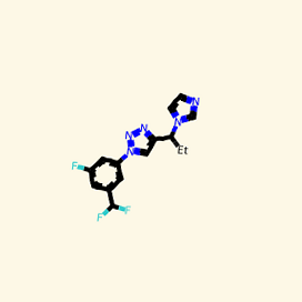 CCC(c1cn(-c2cc(F)cc(C(F)F)c2)nn1)n1ccnc1